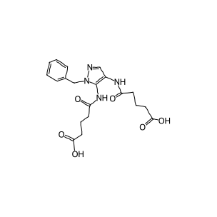 O=C(O)CCCC(=O)Nc1cnn(Cc2ccccc2)c1NC(=O)CCCC(=O)O